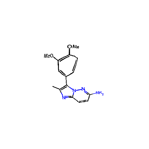 COc1ccc(-c2c(C)nc3ccc(N)nn23)cc1OC